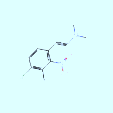 Cc1c(Cl)ccc(C=CN(C)C)c1[N+](=O)[O-]